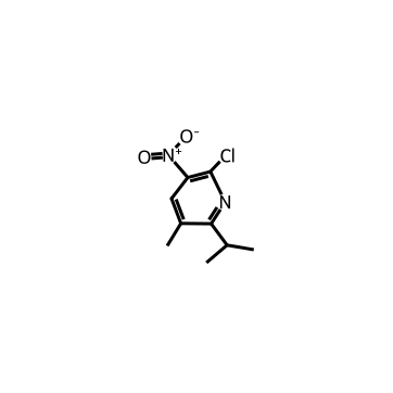 Cc1cc([N+](=O)[O-])c(Cl)nc1C(C)C